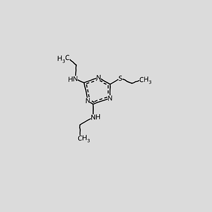 CCNc1nc(NCC)nc(SCC)n1